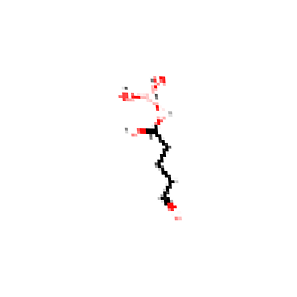 O=CCCCC(=O)OB(O)O